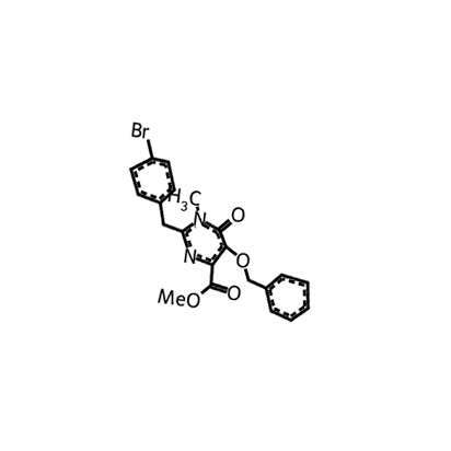 COC(=O)c1nc(Cc2ccc(Br)cc2)n(C)c(=O)c1OCc1ccccc1